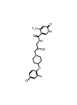 Cc1cc(Cl)ccc1OC1CCN(C[C@H](O)CNC(=O)c2c[nH]c(=O)cc2C(F)(F)F)CC1